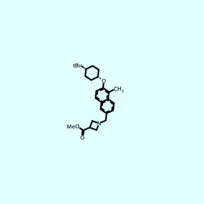 COC(=O)C1CN(Cc2ccc3c(C)c(O[C@H]4CC[C@H](C(C)(C)C)CC4)ccc3c2)C1